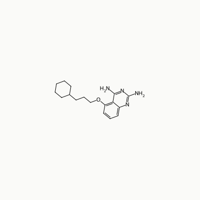 Nc1nc(N)c2c(OCCCC3CCCCC3)cccc2n1